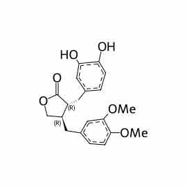 COc1ccc(C[C@H]2COC(=O)[C@@H]2Cc2ccc(O)c(O)c2)cc1OC